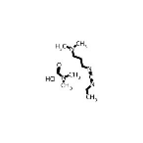 CCN=C=NCCCN(C)C.CN(C)C=O.Cl